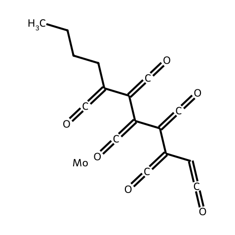 CCCCC(=C=O)C(=C=O)C(=C=O)C(=C=O)C(=C=O)C=C=O.[Mo]